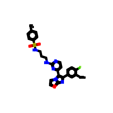 COc1cc(-c2nc3occn3c2-c2ccnc(NCCCNS(=O)(=O)c3ccc(C(F)(F)F)cc3)n2)ccc1F